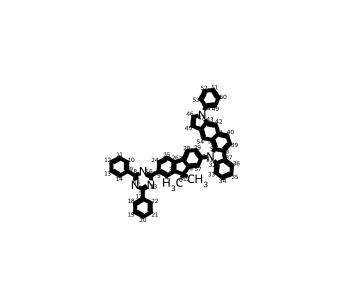 CC1(C)c2cc(-c3nc(-c4ccccc4)nc(-c4ccccc4)n3)ccc2-c2ccc(-n3c4ccccc4c4ccc5cc6c(ccn6-c6ccccc6)cc5c43)cc21